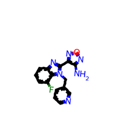 Nc1nonc1-c1nc2cccc(F)c2n1Cc1cccnc1